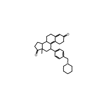 CC12CC(c3ccc(CN4CCCCC4)cc3)C3=C4CCC(=O)C=C4CCC3C1CCC2=O